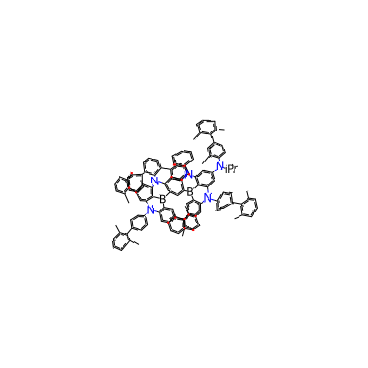 Cc1cc(-c2c(C)cccc2C)ccc1N(c1cc2c3c(c1)N(c1ccccc1)c1cc4c(cc1B3c1cc(-c3c(C)cccc3C)ccc1N2c1ccc(-c2c(C)cccc2C)cc1)B1c2cc(-c3c(C)cccc3C)ccc2N(c2ccc(-c3c(C)cccc3C)cc2)c2cc(-c3c(C)cccc3C)cc(c21)N4c1c(-c2ccccc2)cccc1-c1ccccc1)C(C)C